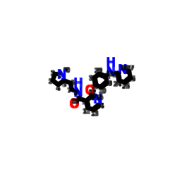 CN1CCCC1CCNC(=O)c1cccnc1Oc1ccc(Nc2ccccn2)cc1